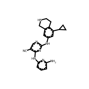 N#Cc1cnc(Nc2cc3c(c(C4CC4)c2)CCNC3)nc1Nc1cccc(N)n1